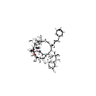 CC[C@H]1OC(=O)[C@H](C)C(=O)[C@H](C)[C@@H](O[C@@H]2O[C@H](C)C[C@H](N(C)C(C)(C)C)[C@H]2O)[C@@]2(C)C[C@@H](C)/C(=N\C(C)=O)[C@H](C)[C@@H](OC/C(=N\OCc3ccccc3)CO2)[C@]1(C)O